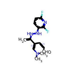 C=C(NNc1ccc(F)nc1F)C(/C=C\C=O)=C/N(C)C